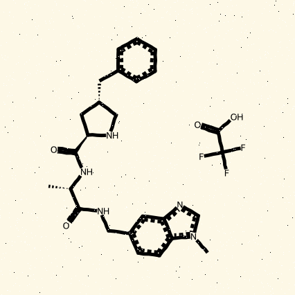 C[C@H](NC(=O)[C@H]1C[C@H](Cc2ccccc2)CN1)C(=O)NCc1ccc2c(c1)ncn2C.O=C(O)C(F)(F)F